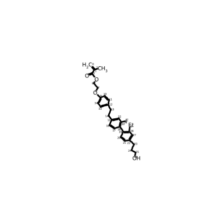 C=C(C)C(=O)OCCOc1ccc(CCc2ccc(-c3ccc(CCCO)cc3CC)c(F)c2)cc1